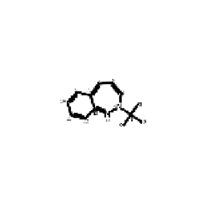 CC(C)(C)N1C=CC=c2ccccc2=N1